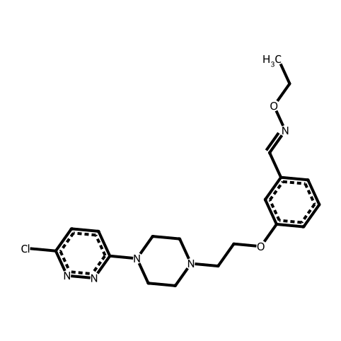 CCON=Cc1cccc(OCCN2CCN(c3ccc(Cl)nn3)CC2)c1